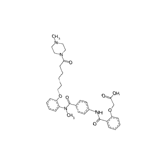 CN1CCN(C(=O)CCCCCOc2ccccc2N(C)C(=O)c2ccc(NC(=O)c3ccccc3OCC(=O)O)cc2)CC1